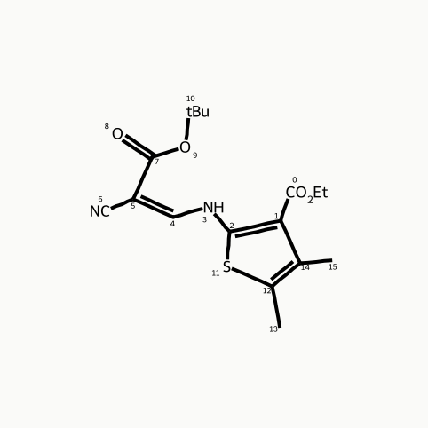 CCOC(=O)c1c(NC=C(C#N)C(=O)OC(C)(C)C)sc(C)c1C